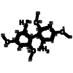 COc1cc(P)c(-c2c(P)cc(OC)nc2OC)c(OC)n1